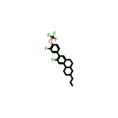 CCCC1CCC2c3cc(F)c(-c4ccc(OC(F)(F)F)c(F)c4)cc3CCC2C1